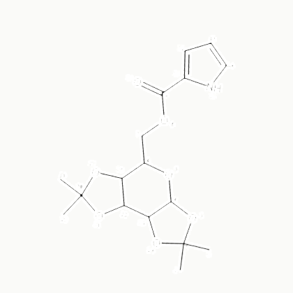 CC1(C)OC2OC(COC(=O)c3ccc[nH]3)C3OC(C)(C)OC3C2O1